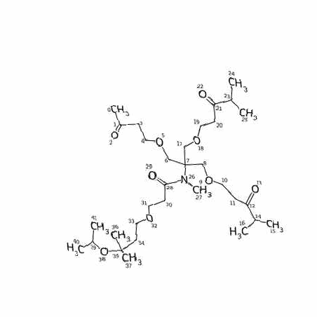 CC(=O)CCOCC(COCCC(=O)C(C)C)(COCCC(=O)C(C)C)N(C)C(=O)CCOCCC(C)(C)OC(C)C